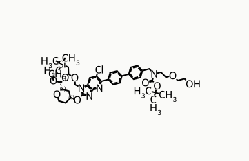 COC(=O)[C@@H]1C[C@@H](Oc2nc3nc(-c4ccc(-c5ccc(CN(CCOCCO)C(=O)OC(C)(C)C)cc5)cc4)c(Cl)cc3n2COCC[Si](C)(C)C)CCO1